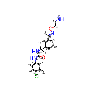 CNCCO/N=C(\C)c1cccc(C(C)(C)NC(=O)Nc2ccc(Cl)c(C)c2)c1